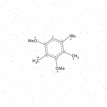 COc1cc(C(C)(C)C)c(C)c(OC)c1C